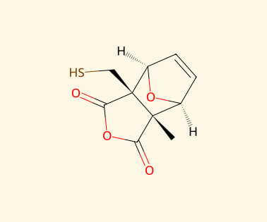 C[C@@]12C(=O)OC(=O)[C@]1(CS)[C@H]1C=C[C@@H]2O1